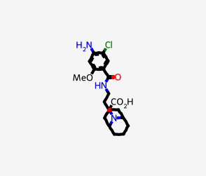 COc1cc(N)c(Cl)cc1C(=O)NCCC1CC2CCCC(C1)N2CC(=O)O